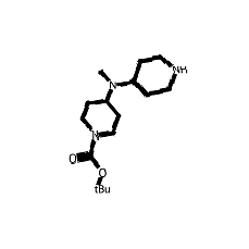 CN(C1CCNCC1)C1CCN(C(=O)OC(C)(C)C)CC1